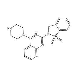 O=S1(=O)c2ccccc2CN1c1nc(N2CCNCC2)c2ccccc2n1